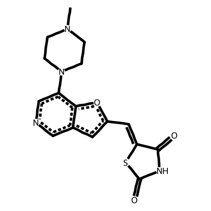 CN1CCN(c2cncc3cc(/C=C4\SC(=O)NC4=O)oc23)CC1